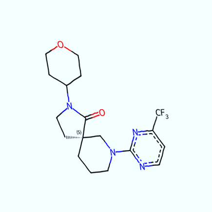 O=C1N(C2CCOCC2)CC[C@]12CCCN(c1nccc(C(F)(F)F)n1)C2